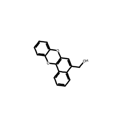 OCc1cc2c(c3ccccc13)Oc1ccccc1O2